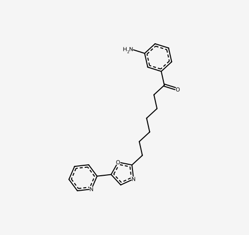 Nc1cccc(C(=O)CCCCCCc2ncc(-c3ccccn3)o2)c1